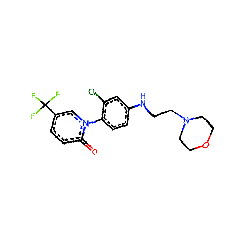 O=c1ccc(C(F)(F)F)cn1-c1ccc(NCCN2CCOCC2)cc1Cl